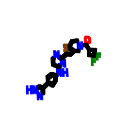 O=C(C1CC(F)(F)C1)N1CCc2sc(-c3nccc(Nc4ccc(-c5cn[nH]c5)cc4)n3)cc2C1